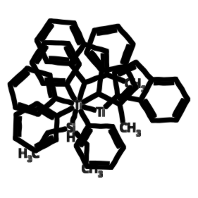 CC[SiH](CC)[Ti]([Ti][CH]1C=Cc2ccccc21)([c]1ccccc1)([c]1ccccc1)([c]1ccccc1)([c]1ccccc1)([CH]1C(C)=Cc2ccccc21)[CH]1C(C)=Cc2ccccc21